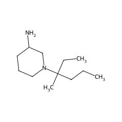 CCCC(C)(CC)N1CCCC(N)C1